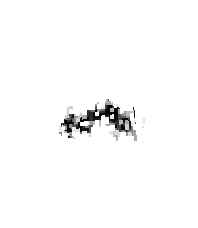 C[C@@H](OC(=O)Nc1c(-c2cc3sc(-c4cc(F)c(C5(C(=O)O)CC5)cc4F)cc3s2)cnn1C)c1ccccc1